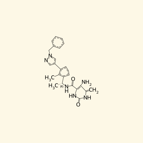 C=C1NC(=O)NC(C(=O)N[C@H](C)c2cccc(-c3cnn(Cc4ccccc4)c3)c2C)=C1N